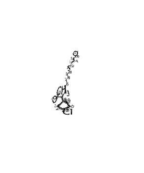 CC([O])C(CCCCCCCSCCCCC=O)c1ccc(Cl)cc1